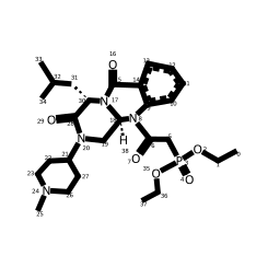 CCOP(=O)(CC(=O)N1c2ccccc2C(=O)N2[C@@H]1CN(C1CCN(C)CC1)C(=O)[C@@H]2CC(C)C)OCC